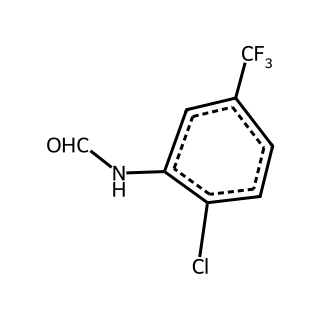 O=CNc1cc(C(F)(F)F)ccc1Cl